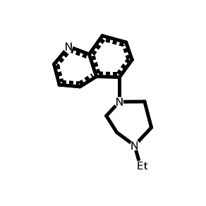 CCN1CCN(c2cccc3ncccc23)CC1